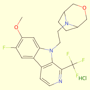 COc1cc2c(cc1F)c1ccnc(C(F)(F)F)c1n2CCN1C2CCC1COC2.Cl